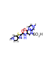 CN1CCN(C(=O)C(CNC(=O)O)NC(=O)c2nc3c(s2)CN(C)CC3)CC1